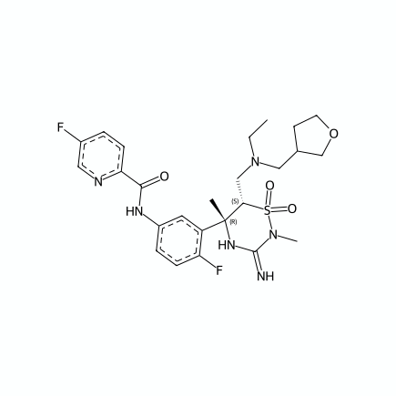 CCN(CC1CCOC1)C[C@H]1[C@@](C)(c2cc(NC(=O)c3ccc(F)cn3)ccc2F)NC(=N)N(C)S1(=O)=O